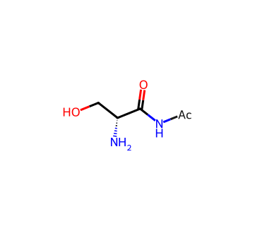 CC(=O)NC(=O)[C@H](N)CO